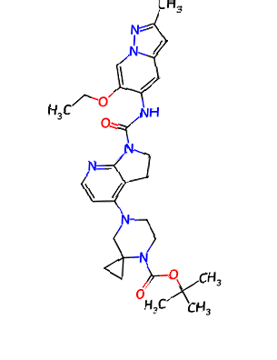 CCOc1cn2nc(C)cc2cc1NC(=O)N1CCc2c(N3CCN(C(=O)OC(C)(C)C)C4(CC4)C3)ccnc21